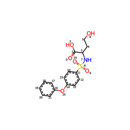 O=C(O)C(CCO)NS(=O)(=O)c1ccc(Oc2ccccc2)cc1